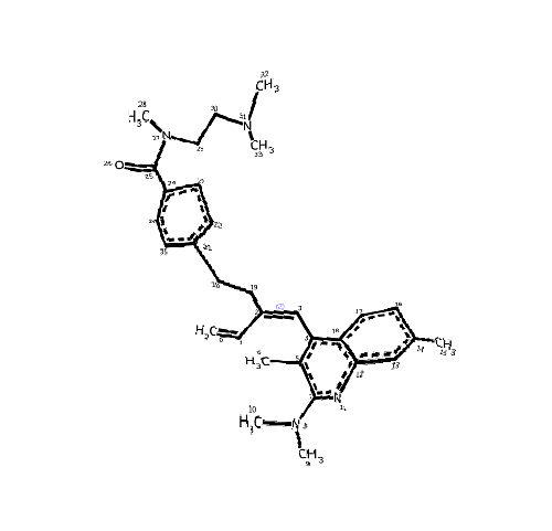 C=C/C(=C\c1c(C)c(N(C)C)nc2cc(C)ccc12)CCc1ccc(C(=O)N(C)CCN(C)C)cc1